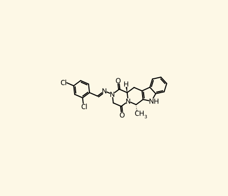 C[C@H]1c2[nH]c3ccccc3c2C[C@H]2C(=O)N(/N=C/c3ccc(Cl)cc3Cl)CC(=O)N21